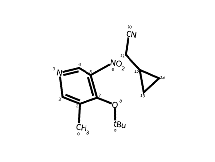 Cc1cncc([N+](=O)[O-])c1OC(C)(C)C.N#CCC1CC1